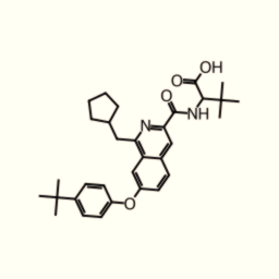 CC(C)(C)c1ccc(Oc2ccc3cc(C(=O)NC(C(=O)O)C(C)(C)C)nc(CC4CCCC4)c3c2)cc1